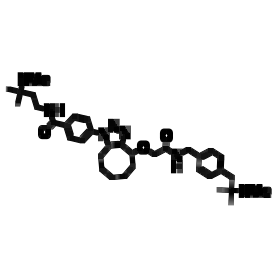 CNC(C)(C)CCNC(=O)c1ccc(-n2nnc3c2CCCCCC3OCC(=O)NCc2ccc(CC(C)(C)NC)cc2)cc1